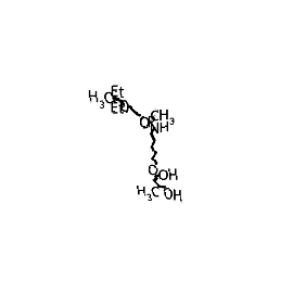 CCC(C)(CC)COCCCOP(C)NCCCCCCO/C(O)=C/C(C)CO